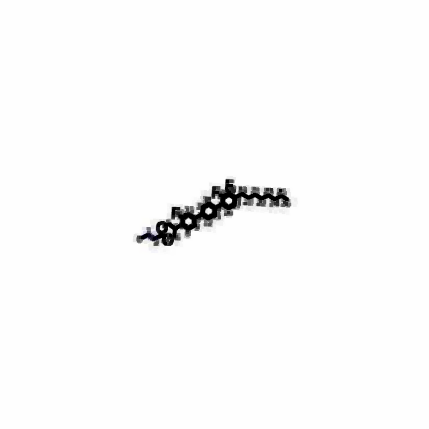 C/C=C/C1OCC(c2ccc(-c3ccc(-c4ccc(CCCCCCCC)c(F)c4F)cc3)cc2F)CO1